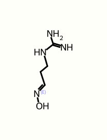 N=C(N)NCC/C=N/O